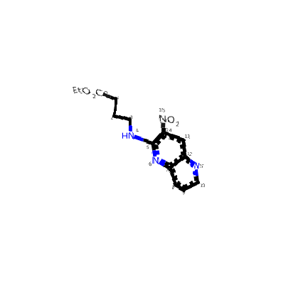 CCOC(=O)CCCNc1nc2cccnc2cc1[N+](=O)[O-]